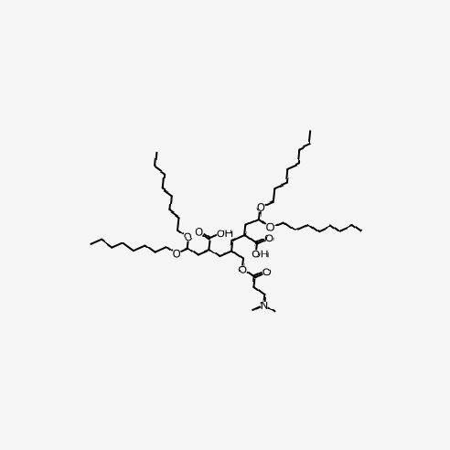 CCCCCCCCOC(CC(CC(COC(=O)CCN(C)C)CC(CC(OCCCCCCCC)OCCCCCCCC)C(=O)O)C(=O)O)OCCCCCCCC